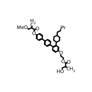 C=C(CO)C(=O)OCCOc1ccc(-c2ccc(-c3ccc(OC(=O)C(=C)COC)cc3)cc2)c(C2CCC(CCC(C)C)CC2)c1